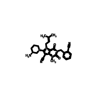 CC(C)=CCn1c(N2CCC[C@H](N)C2)c(C#N)c2c1c(=O)n(Cc1ccccc1C#N)c(=O)n2C